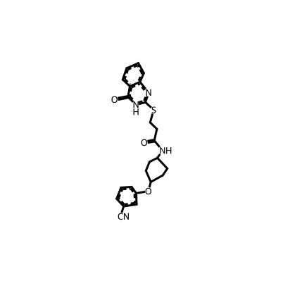 N#Cc1cccc(OC2CCC(NC(=O)CCSc3nc4ccccc4c(=O)[nH]3)CC2)c1